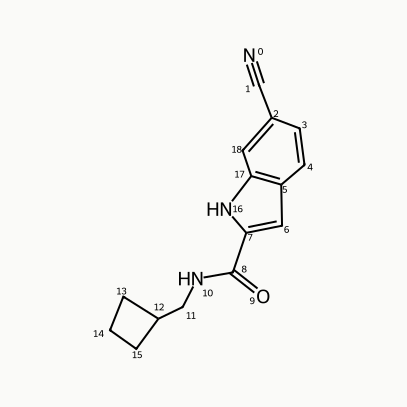 N#Cc1ccc2cc(C(=O)NCC3CCC3)[nH]c2c1